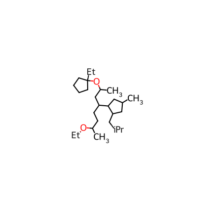 CCOC(C)CCC(CC(C)OC1(CC)CCCC1)C1CC(C)CC1CC(C)C